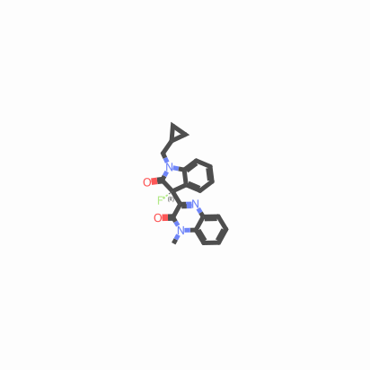 Cn1c(=O)c([C@@]2(F)C(=O)N(CC3CC3)c3ccccc32)nc2ccccc21